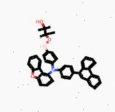 CC(C)(O)C(C)(C)OBc1ccc(N(c2ccc(-c3cc4ccccc4c4ccccc34)cc2)c2cccc3oc4ccccc4c23)cc1